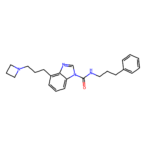 O=C(NCCCc1ccccc1)n1cnc2c(CCCN3CCC3)cccc21